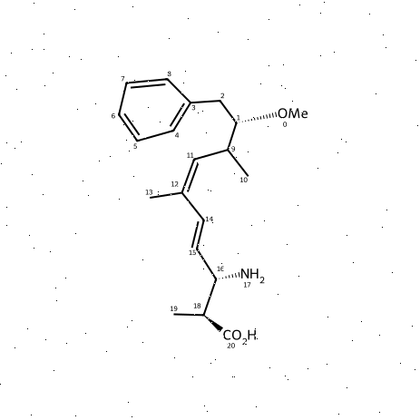 CO[C@@H](Cc1ccccc1)C(C)C=C(C)C=C[C@H](N)[C@H](C)C(=O)O